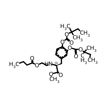 CCCC(=O)OCCN[C@@H](Cc1ccc(OC(=O)OC(C)(C)CC)c(OC(=O)OC(C)(C)CC)c1)C(=O)OC